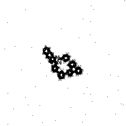 CC1(C)c2cc3ccccc3cc2-c2nc(-c3ccccc3)nc(-c3cccc(-c4cccc(-c5ccc6c7ccccc7c7ccccc7c6c5)c4)c3)c21